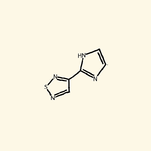 [c]1c[nH]c(-c2cnsn2)n1